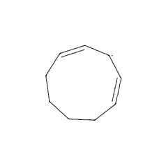 [CH]1/C=C\CCCC/C=C\1